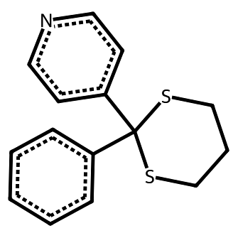 c1ccc(C2(c3ccncc3)SCCCS2)cc1